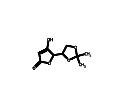 CC1(C)OCC(C2OC(=O)[C]=C2O)O1